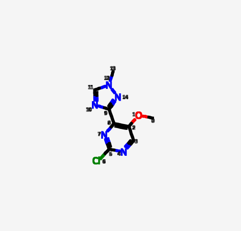 COc1cnc(Cl)nc1-c1ncn(C)n1